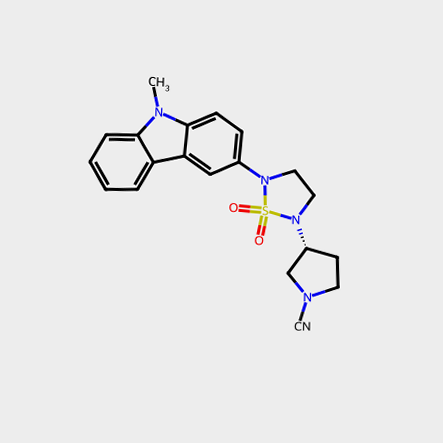 Cn1c2ccccc2c2cc(N3CCN([C@@H]4CCN(C#N)C4)S3(=O)=O)ccc21